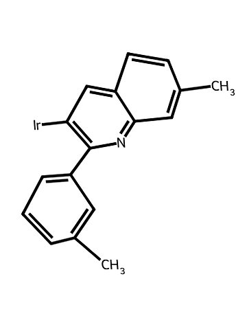 Cc1cccc(-c2nc3cc(C)ccc3c[c]2[Ir])c1